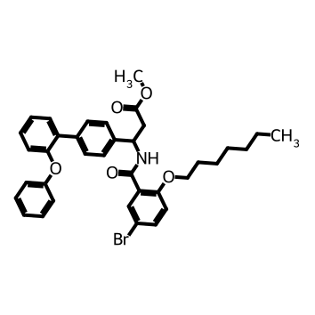 CCCCCCCOc1ccc(Br)cc1C(=O)NC(CC(=O)OC)c1ccc(-c2ccccc2Oc2ccccc2)cc1